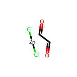 O=CC=O.[Cl][Zn][Cl]